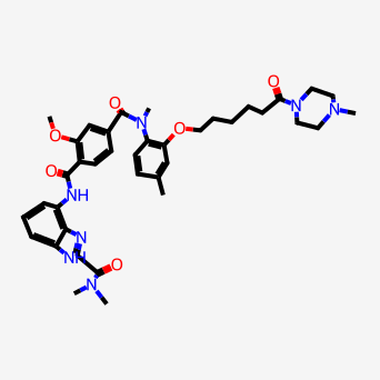 COc1cc(C(=O)N(C)c2ccc(C)cc2OCCCCCC(=O)N2CCN(C)CC2)ccc1C(=O)Nc1cccc2[nH]c(C(=O)N(C)C)nc12